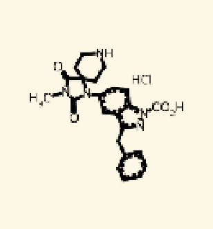 CN1C(=O)N(c2ccc3c(c2)c(Cc2ccccc2)nn3C(=O)O)C2(CCNCC2)C1=O.Cl